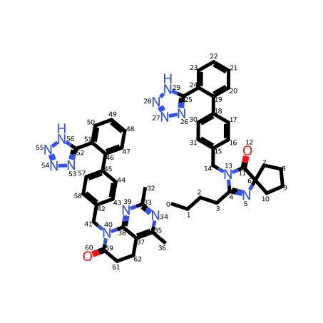 CCCCC1=NC2(CCCC2)C(=O)N1Cc1ccc(-c2ccccc2-c2nnn[nH]2)cc1.Cc1nc(C)c2c(n1)N(Cc1ccc(-c3ccccc3-c3nnn[nH]3)cc1)C(=O)CC2